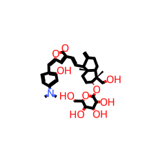 C=C1CCC2[C@](C)(CC[C@@H](OC3OC(CO)C(O)C(O)C3O)[C@@]2(C)CO)C1/C=C/C1=CC(=C\c2ccc(N(C)C)cc2O)/OC1=O